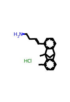 Cc1cccc2c1C1(C)CC2c2cccc(C=CCCN)c21.Cl